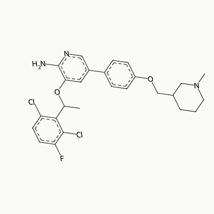 CC(Oc1cc(-c2ccc(OCC3CCCN(C)C3)cc2)cnc1N)c1c(Cl)ccc(F)c1Cl